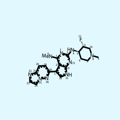 CNc1nc(N[C@@H]2CCN(C)C[C@H]2F)nc2[nH]cc(-c3ccc4nccn4n3)c12